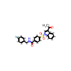 CC(=O)c1cn(S(=O)(=O)c2ccc(C(=O)NCc3ccc(F)cc3)cc2)c2ccccc12